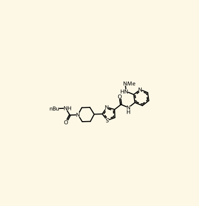 CCCCNC(=O)N1CCC(c2nc(C(=O)Nc3cccnc3NNC)cs2)CC1